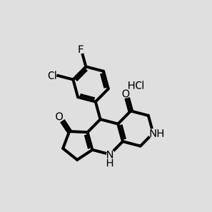 Cl.O=C1CCC2=C1C(c1ccc(F)c(Cl)c1)C1=C(CNCC1=O)N2